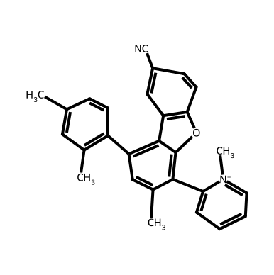 Cc1ccc(-c2cc(C)c(-c3cccc[n+]3C)c3oc4ccc(C#N)cc4c23)c(C)c1